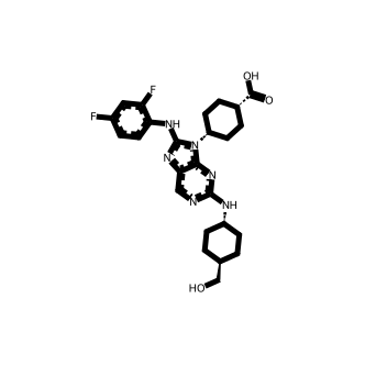 O=C(O)[C@H]1CC[C@@H](n2c(Nc3ccc(F)cc3F)nc3cnc(N[C@H]4CC[C@H](CO)CC4)nc32)CC1